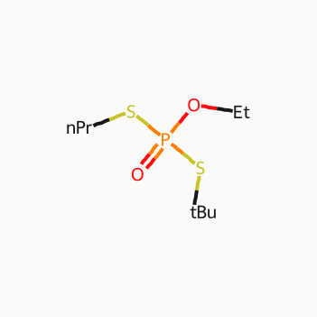 CCCSP(=O)(OCC)SC(C)(C)C